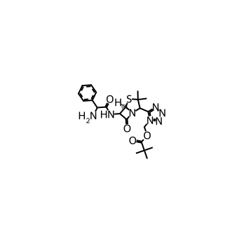 CC(C)(C)C(=O)OCn1nnnc1C1N2C(=O)C(NC(=O)C(N)c3ccccc3)[C@H]2SC1(C)C